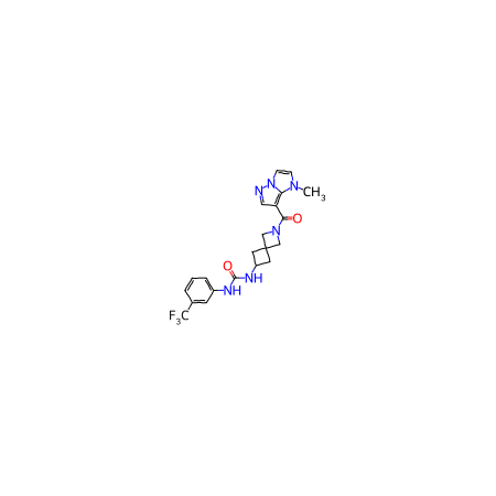 Cn1ccn2ncc(C(=O)N3CC4(CC(NC(=O)Nc5cccc(C(F)(F)F)c5)C4)C3)c12